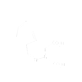 O=C(O)C1c2ccccc2C=NN1C(=O)O